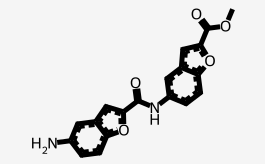 COC(=O)c1cc2cc(NC(=O)c3cc4cc(N)ccc4o3)ccc2o1